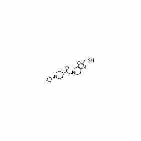 O=C(CN1CCc2nc(CS)oc2C1)N1CCN(C2CCC2)CC1